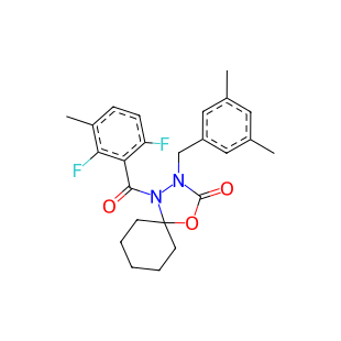 Cc1cc(C)cc(CN2C(=O)OC3(CCCCC3)N2C(=O)c2c(F)ccc(C)c2F)c1